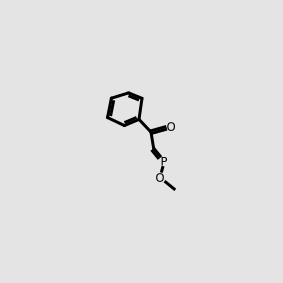 COP=CC(=O)c1ccccc1